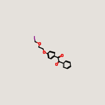 O=C(C(=O)c1ccc(OCCOCI)cc1)c1ccccc1